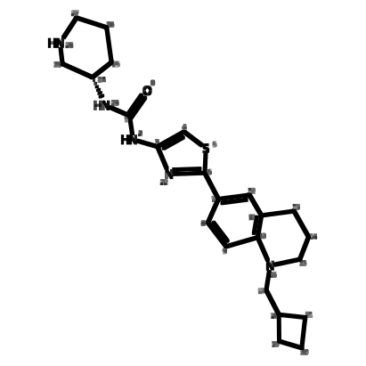 O=C(Nc1csc(-c2ccc3c(c2)CCCN3CC2CCC2)n1)N[C@H]1CCCNC1